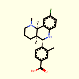 Cc1cc(C(=O)O)ccc1[C@H]1Nc2ccc(Cl)cc2[C@H]2[C@@H]1CCCN2C